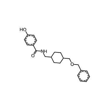 O=C(NCC1CCC(COCc2ccccc2)CC1)c1ccc(O)cc1